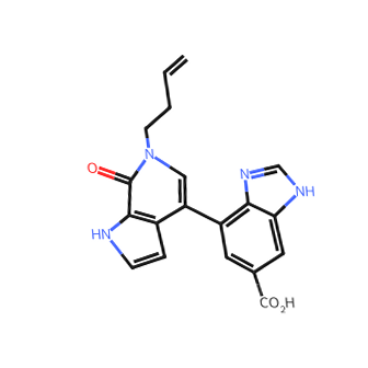 C=CCCn1cc(-c2cc(C(=O)O)cc3[nH]cnc23)c2cc[nH]c2c1=O